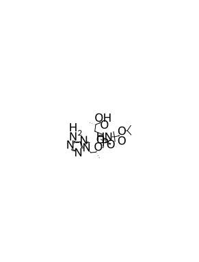 CC(C)OC(=O)C(C)(C)NP(=O)(CO[C@H](C)Cn1cnc2c(N)ncnc21)OCC[C@H](C)C(=O)O